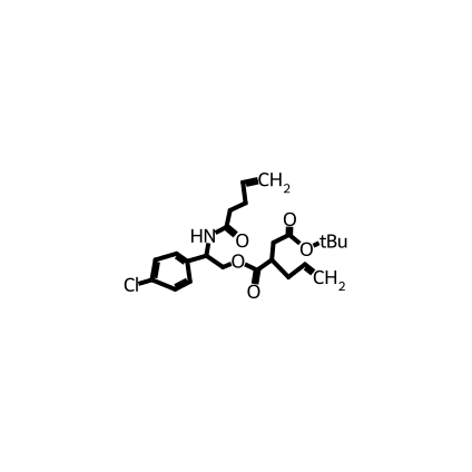 C=CCCC(=O)NC(COC(=O)C(CC=C)CC(=O)OC(C)(C)C)c1ccc(Cl)cc1